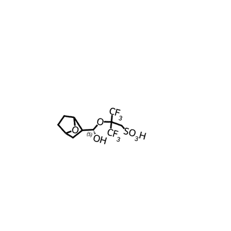 O=S(=O)(O)CC(O[C@H](O)C1CC2CCC1O2)(C(F)(F)F)C(F)(F)F